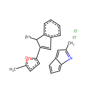 CC1=NC2=CC=CC2=C1.Cc1ccc(C2=Cc3ccccc3[CH]2[Zr+2])o1.[Cl-].[Cl-]